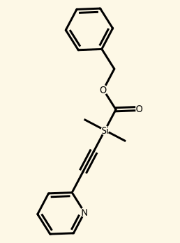 C[Si](C)(C#Cc1ccccn1)C(=O)OCc1ccccc1